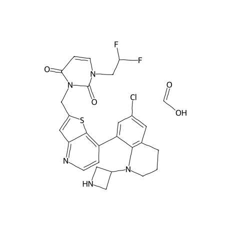 O=CO.O=c1ccn(CC(F)F)c(=O)n1Cc1cc2nccc(-c3cc(Cl)cc4c3N(C3CNC3)CCC4)c2s1